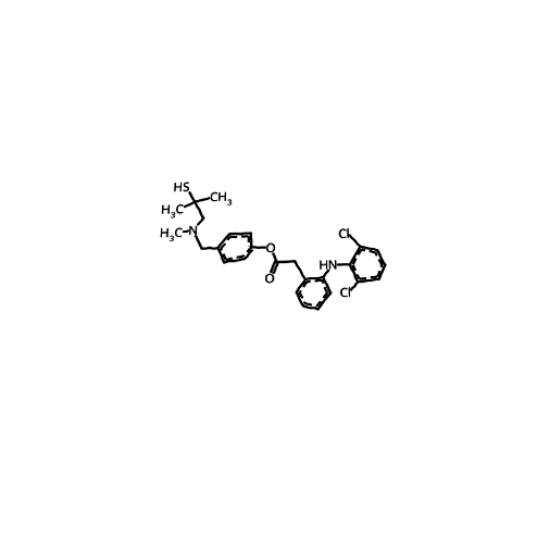 CN(Cc1ccc(OC(=O)Cc2ccccc2Nc2c(Cl)cccc2Cl)cc1)CC(C)(C)S